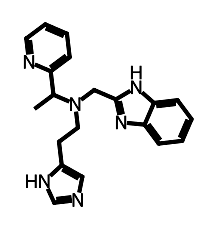 CC(c1ccccn1)N(CCc1cnc[nH]1)Cc1nc2ccccc2[nH]1